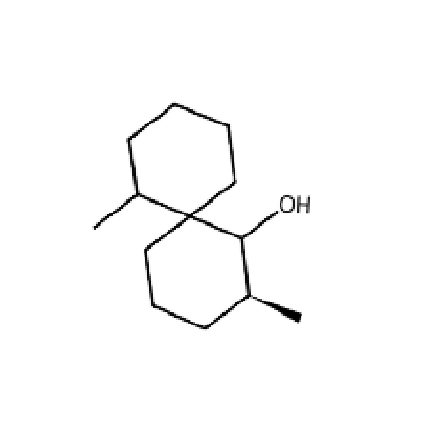 CC1CCCCC12CCC[C@H](C)C2O